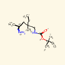 CCC(C)(CNC(=O)OC(C)(C)C)CC(C)N